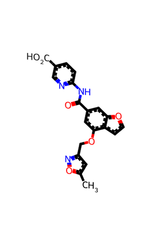 Cc1cc(COc2cc(C(=O)Nc3ccc(C(=O)O)cn3)cc3occc23)no1